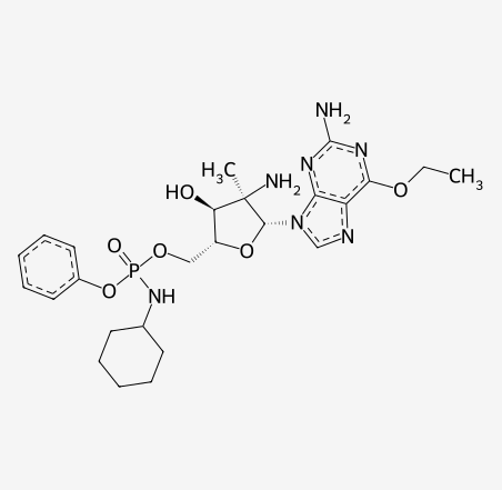 CCOc1nc(N)nc2c1ncn2[C@@H]1O[C@H](COP(=O)(NC2CCCCC2)Oc2ccccc2)[C@@H](O)[C@@]1(C)N